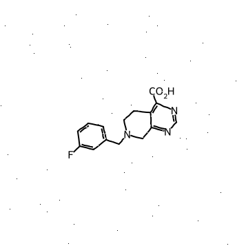 O=C(O)c1ncnc2c1CCN(Cc1cccc(F)c1)C2